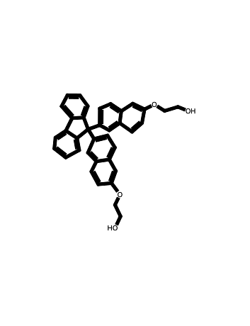 OCCOc1ccc2cc(C3(c4ccc5cc(OCCO)ccc5c4)c4ccccc4-c4ccccc43)ccc2c1